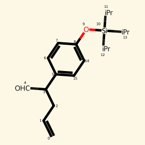 C=CCC(C=O)c1ccc(O[Si](C(C)C)(C(C)C)C(C)C)cc1